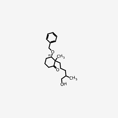 CC(CO)CCCC1(C)C(=O)CCC[C@H]1OCc1ccccc1